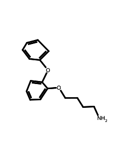 NCCCCOc1ccccc1Oc1ccccc1